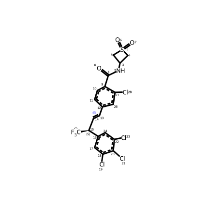 O=C(NC1CS(=O)(=O)C1)c1ccc(/C=C/[C@@H](c2cc(Cl)c(Cl)c(Cl)c2)C(F)(F)F)cc1Cl